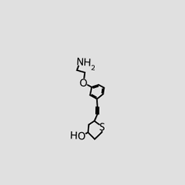 NCCOc1cccc(C#CC2CC(O)CCS2)c1